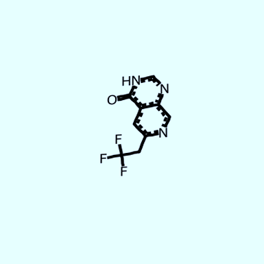 O=c1[nH]cnc2cnc(CC(F)(F)F)cc12